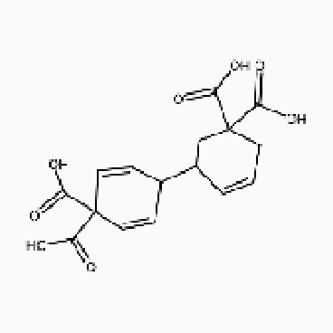 O=C(O)C1(C(=O)O)C=CC(C2C=CCC(C(=O)O)(C(=O)O)C2)C=C1